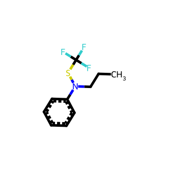 CCCN(SC(F)(F)F)c1ccccc1